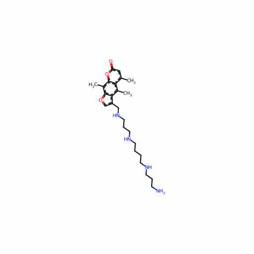 Cc1c2oc(=O)cc(C)c2c(C)c2c(CNCCCNCCCCNCCCN)coc12